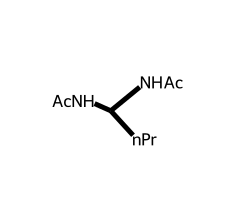 CCCC(NC(C)=O)NC(C)=O